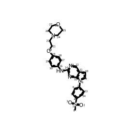 CS(=O)(=O)c1ccc(-n2ccc3cnc(Nc4ccc(OCCN5CCOCC5)cc4)nc32)cc1